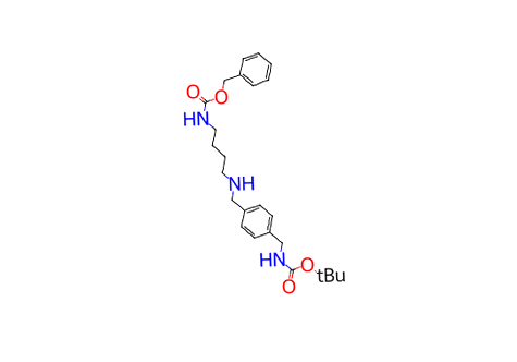 CC(C)(C)OC(=O)NCc1ccc(CNCCCCNC(=O)OCc2ccccc2)cc1